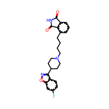 O=C1NC(=O)c2c(CCCCN3CCC(c4noc5cc(F)ccc45)CC3)cccc21